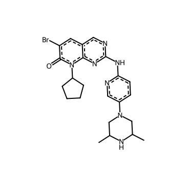 CC1CN(c2ccc(Nc3ncc4cc(Br)c(=O)n(C5CCCC5)c4n3)nc2)CC(C)N1